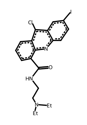 CCN(CC)CCNC(=O)c1cccc2c(Cl)c3cc(I)ccc3nc12